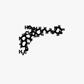 COc1ccc2ncc(Cl)c([C@H](F)CCC3(C(=O)NO)CCN(CCCSc4cnccn4)CC3)c2c1